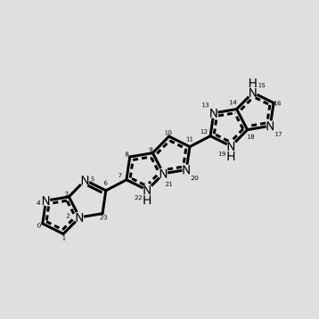 c1cn2c(n1)N=C(c1cc3cc(-c4nc5[nH]cnc5[nH]4)nn3[nH]1)C2